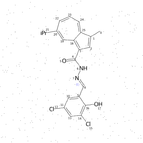 Cc1cc(C(=O)N/N=C/c2cc(Cl)cc(Cl)c2O)c2cc(C(C)C)cccc1-2